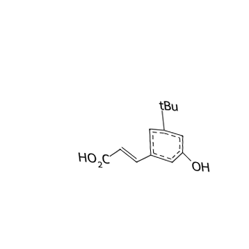 CC(C)(C)c1cc(O)cc(C=CC(=O)O)c1